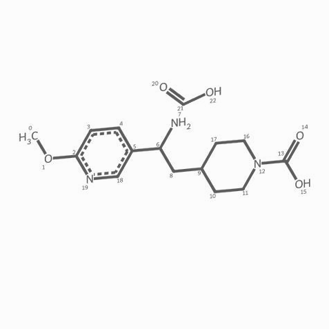 COc1ccc(C(N)CC2CCN(C(=O)O)CC2)cn1.O=CO